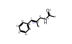 CC(=O)NC/C(C)=C/c1ccccc1